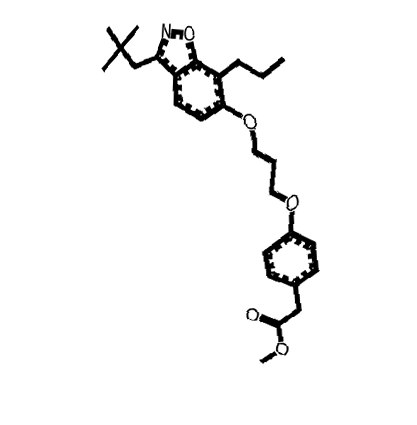 CCCc1c(OCCCOc2ccc(CC(=O)OC)cc2)ccc2c(CC(C)(C)C)noc12